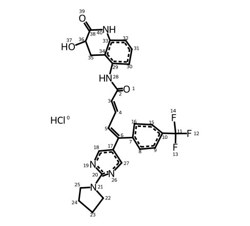 Cl.O=C(/C=C/C=C(\c1ccc(C(F)(F)F)cc1)c1cnc(N2CCCC2)nc1)Nc1cccc2c1CC(O)C(=O)N2